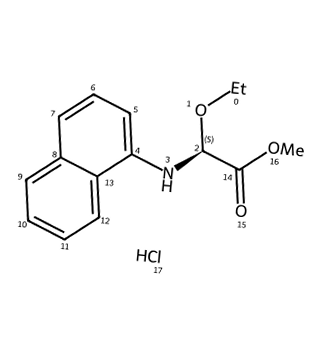 CCO[C@H](Nc1cccc2ccccc12)C(=O)OC.Cl